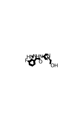 O=C(Nc1cnn(CCO)c1)c1n[nH]c2c(F)cccc12